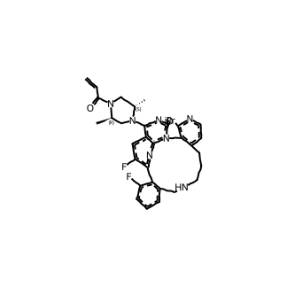 C=CC(=O)N1C[C@H](C)N(c2nc(=O)n3c4nc(c(F)cc24)-c2c(F)cccc2CNCCCc2ccnc(C(C)C)c2-3)C[C@H]1C